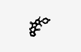 CN1CCN(c2c(F)cc3c(c2F)-n2c(nc4ccccc4c2=O)C3=O)CC1